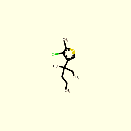 CCCC(C)(CC)c1csc(C)c1Cl